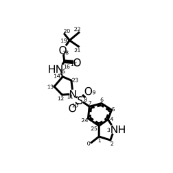 CC1CNc2ccc(S(=O)(=O)N3CC[C@@H](NC(=O)OC(C)(C)C)C3)cc21